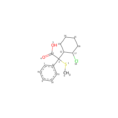 CSC(C(=O)O)(c1ccccc1)C1CCCCC1Cl